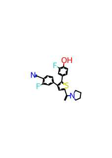 C=C(c1cc(-c2ccc(C#N)c(F)c2)c(-c2ccc(O)c(F)c2)s1)N1CCCC1